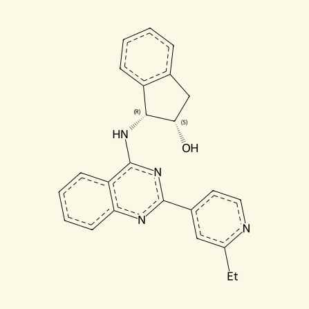 CCc1cc(-c2nc(N[C@@H]3c4ccccc4C[C@@H]3O)c3ccccc3n2)ccn1